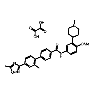 COc1ccc(NC(=O)c2ccc(-c3ccc(-c4noc(C)n4)cc3C)cc2)cc1C1CCN(C)CC1.O=C(O)C(=O)O